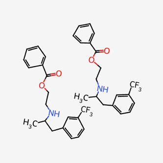 CC(Cc1cccc(C(F)(F)F)c1)NCCOC(=O)c1ccccc1.CC(Cc1cccc(C(F)(F)F)c1)NCCOC(=O)c1ccccc1